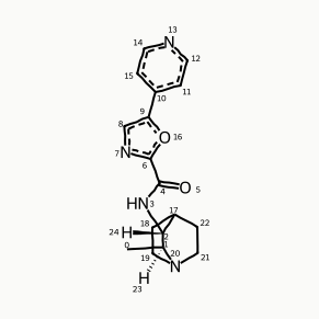 C[C@H]1[C@H](NC(=O)c2ncc(-c3ccncc3)o2)C2CCN1CC2